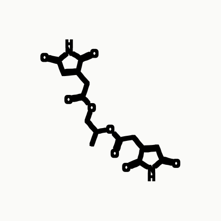 CC(COC(=O)CC1=CC(=O)NC1=O)OC(=O)CC1=CC(=O)NC1=O